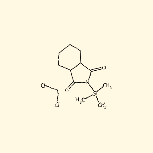 C[Si](C)(C)N1C(=O)C2CCCCC2C1=O.ClCCl